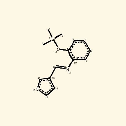 C[Si](C)(C)Oc1ccccc1N=Cc1ccoc1